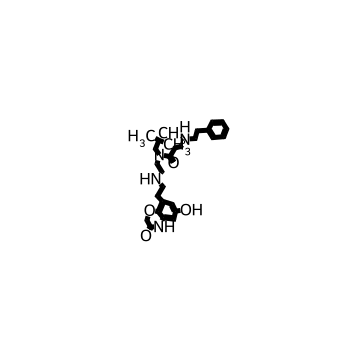 CC(C)(C)CN(CCNCCc1cc(O)cc2c1OCC(=O)N2)C(=O)CCNCCc1ccccc1